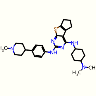 CN1CCC(c2ccc(Nc3nc(NC4CCC(N(C)C)CC4)c4c5c(sc4n3)CCC5)cc2)CC1